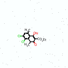 CCOC(=O)C1=C(O)c2c(C)cc(Cl)c(Cl)c2C(C)C1=O